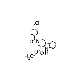 CCOC(=O)C1=CN(C(=O)c2ccc(CCl)cc2)CCc2c1[nH]c1ccccc21